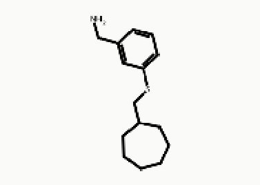 NCc1cccc(SCC2CCCCCC2)c1